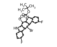 COc1c2[nH]c3ccc(F)cc3c2c(Br)c2c3cc(F)ccc3n(C(=O)OC(C)(C)C)c12